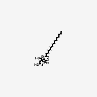 CCCCCCCCCCCCCCCC(=O)OC(C(=O)O)C(O)(CC(=O)O)C(=O)O